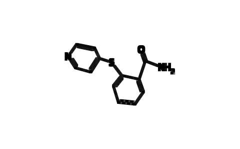 NC(=O)c1ccccc1Sc1ccncc1